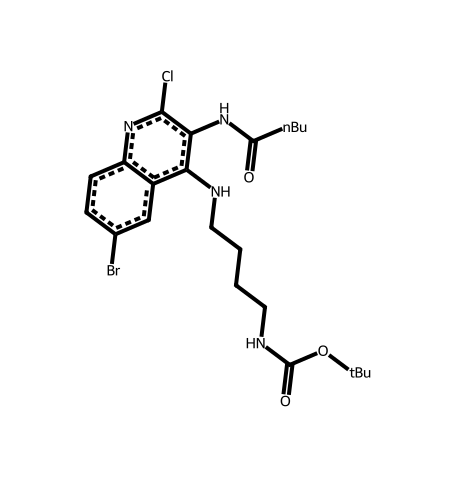 CCCCC(=O)Nc1c(Cl)nc2ccc(Br)cc2c1NCCCCNC(=O)OC(C)(C)C